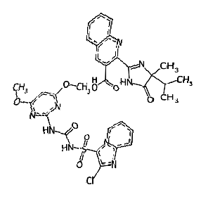 CC(C)C1(C)N=C(c2nc3ccccc3cc2C(=O)O)NC1=O.COc1cc(OC)nc(NC(=O)NS(=O)(=O)c2c(Cl)nc3ccccn23)n1